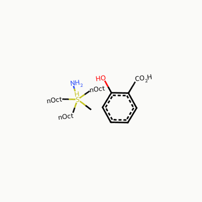 CCCCCCCC[SH](C)(N)(CCCCCCCC)CCCCCCCC.O=C(O)c1ccccc1O